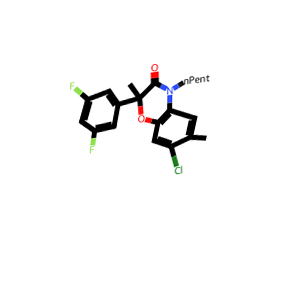 CCCCCN1C(=O)C(C)(c2cc(F)cc(F)c2)Oc2cc(Cl)c(C)cc21